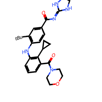 CC(C)(C)c1cc(C(=O)N=C2NCCN2)ccc1Nc1cccc(C(=O)N2CCOCC2)c1C1CC1